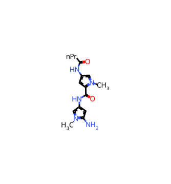 CCCC(=O)Nc1cc(C(=O)Nc2cc(N)n(C)c2)n(C)c1